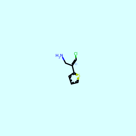 NC/C(=C\Cl)c1cccs1